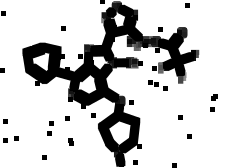 CCn1c(-c2nonc2N)nc2c(-c3ccccc3)ncc(OC3CCN(C)CC3)c21.O=C(O)C(F)(F)F